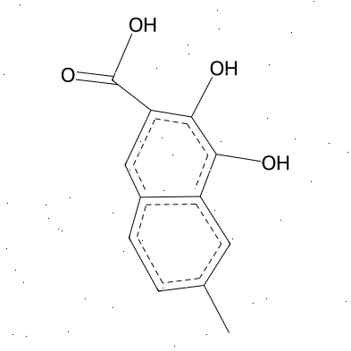 Cc1ccc2cc(C(=O)O)c(O)c(O)c2c1